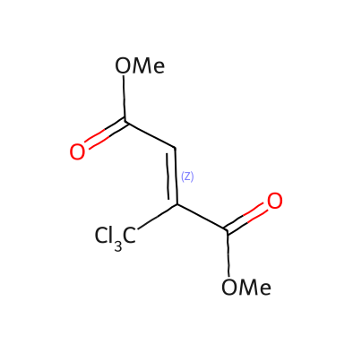 COC(=O)/C=C(/C(=O)OC)C(Cl)(Cl)Cl